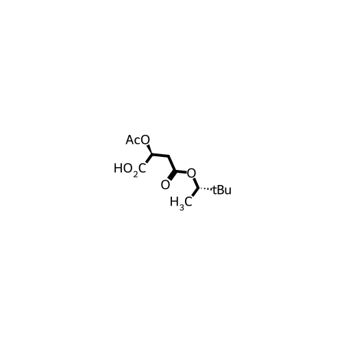 CC(=O)O[C@@H](CC(=O)O[C@@H](C)C(C)(C)C)C(=O)O